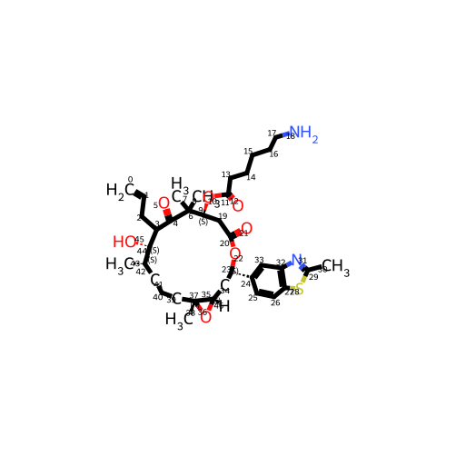 C=CCC1C(=O)C(C)(C)[C@@H](OC(=O)CCCCCN)CC(=O)O[C@H](c2ccc3sc(C)nc3c2)C[C@@H]2O[C@]2(C)CCC[C@H](C)[C@@H]1O